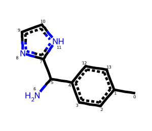 Cc1ccc(C(N)c2ncc[nH]2)cc1